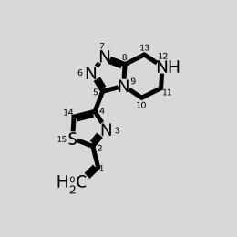 C=Cc1nc(-c2nnc3n2CCNC3)cs1